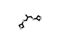 CC(CSC1CSC1)CSC1CSC1